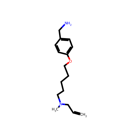 C=CCN(C)CCCCCOc1ccc(CN)cc1